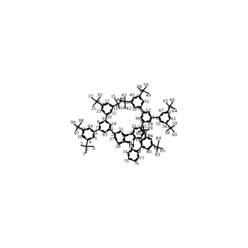 CC(C)(C)c1cc(-c2cc(-c3cc(C(C)(C)C)cc(C(C)(C)C)c3)cc(-c3ccc4c(c3)c3cc(-c5cc(-c6cc(C(C)(C)C)cc(C(C)(C)C)c6)cc(-c6cc(C(C)(C)C)cc(C(C)(C)C)c6)c5)ccc3n4-c3ccccc3-c3cc(C(C)(C)C)cc(C(C)(C)C)c3)c2)cc(C(C)(C)C)c1